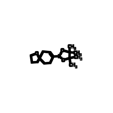 CC1(C)OB(C2=CCC3(CCCO3)CC2)OC1(C)C